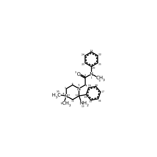 CN(C(=O)CN1CC[N+](C)(C)CC1(N)c1ccccc1)c1ccccc1